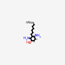 CCCCCCCCCCCCCCCC1C(N)CCC(O)C1N